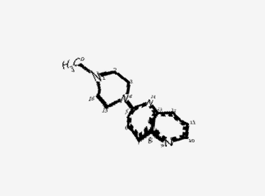 CN1CCN(c2ccc3ncccc3n2)CC1